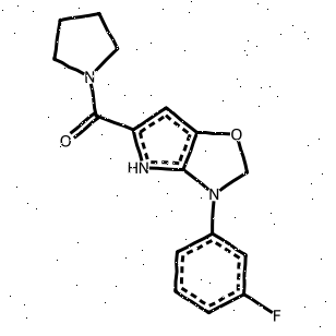 O=C(c1cc2c([nH]1)N(c1cccc(F)c1)CO2)N1CCCC1